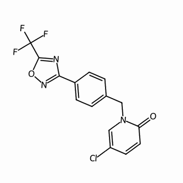 O=c1ccc(Cl)cn1Cc1ccc(-c2noc(C(F)(F)F)n2)cc1